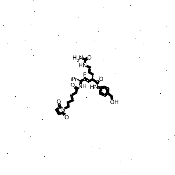 CC(C)[C@H](NC(=O)CCCCCN1C(=O)C=CC1=O)/C(F)=C/[C@@H](CCCNC(N)=O)C(=O)Nc1ccc(CO)cc1